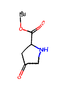 CC(C)(C)OC(=O)C1CC(=O)CN1